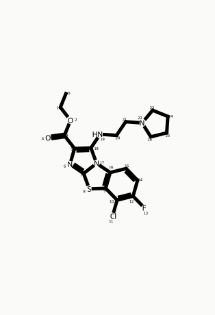 CCOC(=O)c1nc2sc3c(Cl)c(F)ccc3n2c1NCCN1CCCC1